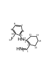 N=CC1=C(Nc2ccccc2F)CCCC1